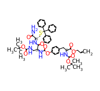 C=CCOC(=O)[C@H](Cc1ccc(OC(=O)N[C@@H](CNC(=O)OC(C)(C)C)C(=O)N[C@@H](CSC(c2ccccc2)(c2ccccc2)c2ccccc2)C(N)=O)cc1)NC(=O)OC(C)(C)C